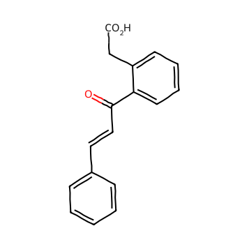 O=C(O)Cc1ccccc1C(=O)C=Cc1ccccc1